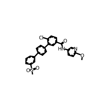 COc1ccc(NC(=O)c2ccc(Cl)c(-c3ccc(-c4cccc(S(C)(=O)=O)c4)cc3)c2)cn1